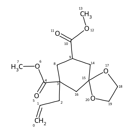 C=CCC1(C(=O)OC)CC(C(=O)OC)CC2(C1)OCCO2